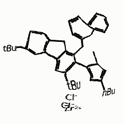 CCCCC1=CC(C)C(c2c(C(C)(C)C)cc3c(c2Cc2cccc4ccccc24)Cc2ccc(C(C)(C)C)cc2-3)=C1.[Cl-].[Cl-].[Zr+2]